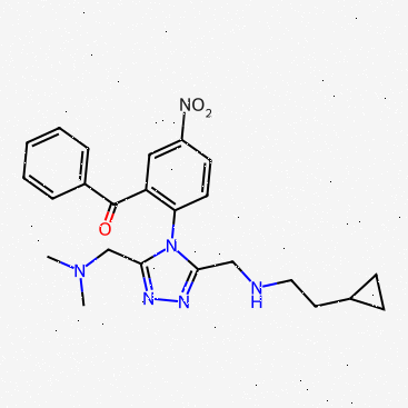 CN(C)Cc1nnc(CNCCC2CC2)n1-c1ccc([N+](=O)[O-])cc1C(=O)c1ccccc1